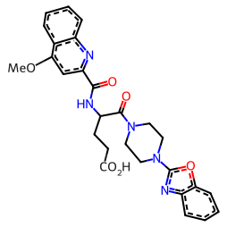 COc1cc(C(=O)NC(CCC(=O)O)C(=O)N2CCN(c3nc4ccccc4o3)CC2)nc2ccccc12